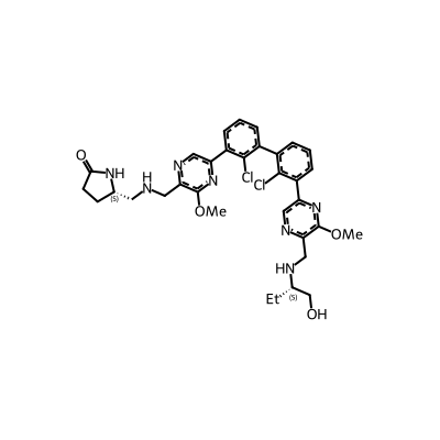 CC[C@@H](CO)NCc1ncc(-c2cccc(-c3cccc(-c4cnc(CNC[C@@H]5CCC(=O)N5)c(OC)n4)c3Cl)c2Cl)nc1OC